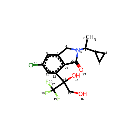 CC(C1CC1)N1Cc2cc(Cl)cc(C(O)(CO)C(F)(F)F)c2C1=O